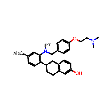 CCCN(Cc1ccc(OCCN(C)C)cc1)c1cc(OC)ccc1C1CCc2cc(O)ccc2C1